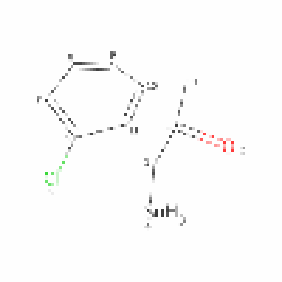 CC(=O)[CH2][SnH3].Clc1ccccc1